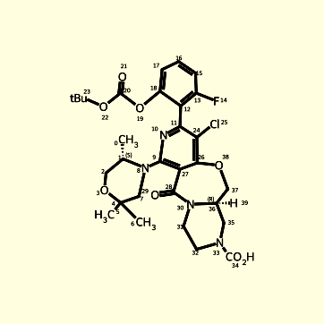 C[C@H]1COC(C)(C)CN1c1nc(-c2c(F)cccc2OC(=O)OC(C)(C)C)c(Cl)c2c1C(=O)N1CCN(C(=O)O)C[C@@H]1CO2